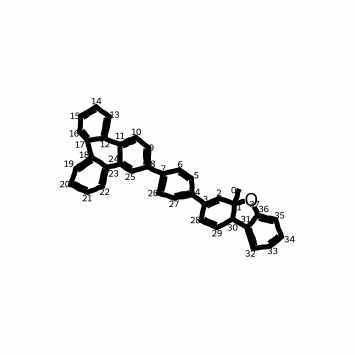 CC12C=C(c3ccc(-c4ccc5c6ccccc6c6ccccc6c5c4)cc3)C=CC1c1ccccc1O2